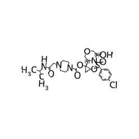 CC(C)NC(=O)CN1CCN(C(=O)OC2([C@H]3COC[C@@H](O)N3S(=O)(=O)c3ccc(Cl)cc3)CC2)CC1